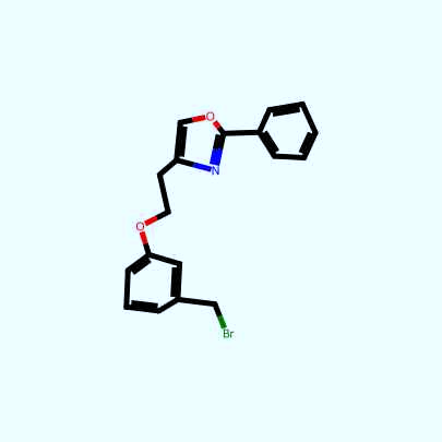 BrCc1cccc(OCCc2coc(-c3ccccc3)n2)c1